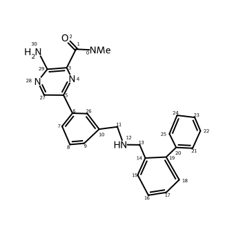 CNC(=O)c1nc(-c2cccc(CNCc3ccccc3-c3ccccc3)c2)cnc1N